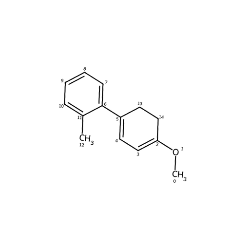 COC1=CC=C(c2ccccc2C)CC1